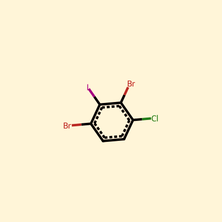 Clc1ccc(Br)c(I)c1Br